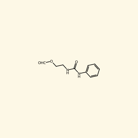 O=COCCNC(=O)Nc1ccccc1